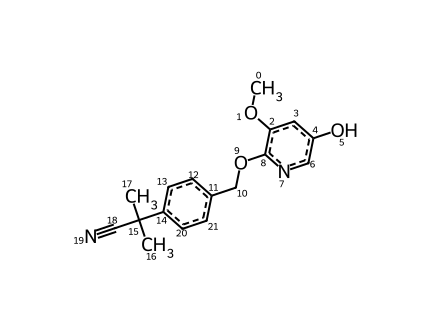 COc1cc(O)cnc1OCc1ccc(C(C)(C)C#N)cc1